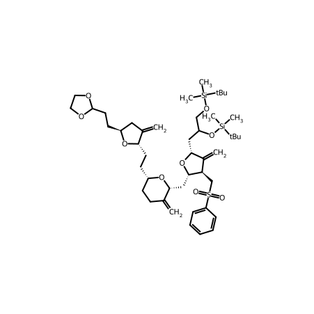 C=C1C[C@H](CCC2OCCO2)O[C@H]1CC[C@H]1CCC(=C)[C@@H](C[C@@H]2O[C@H](CC(CO[Si](C)(C)C(C)(C)C)O[Si](C)(C)C(C)(C)C)C(=C)[C@H]2CS(=O)(=O)c2ccccc2)O1